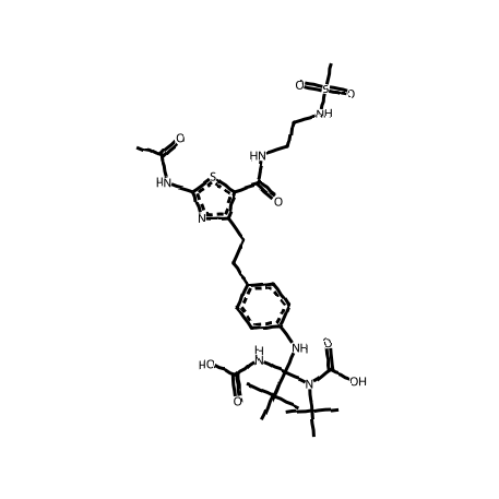 CC(=O)Nc1nc(CCc2ccc(NC(NC(=O)O)(N(C(=O)O)C(C)(C)C)C(C)(C)C)cc2)c(C(=O)NCCNS(C)(=O)=O)s1